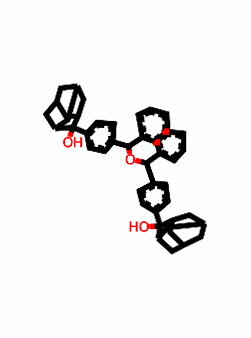 OC1(c2ccc(C(OC(c3ccccc3)c3ccc(C4(O)C5CC6CC(C5)CC4C6)cc3)c3ccccc3)cc2)C2CC3CC(C2)CC1C3